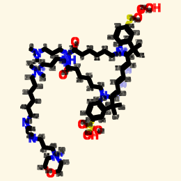 CN(C)CCCNC(=O)CCCCC[N+]1=C(/C=C/C=C/C=C2\N(CCCCCC(=O)NCCC[N+](C)(C)CCCCCCN=C=NCCC[N+]3(C)CCOCC3)c3ccc(S(=O)(=O)O)cc3C2(C)C)C(C)(C)c2cc(SOOO)ccc21